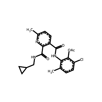 CC(=O)Oc1c(Cl)ccc(C)c1NC(=O)c1ccc(C)nc1C(=O)NCC1CC1